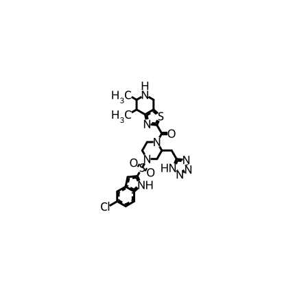 CC1NCc2sc(C(=O)N3CCN(S(=O)(=O)c4cc5cc(Cl)ccc5[nH]4)CC3Cc3nnn[nH]3)nc2C1C